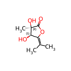 CC(C)=C1OC(=O)[C@](C)(O)[C@@H]1O